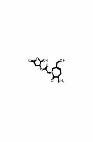 NC1CC=C(CO)CN(CC(=O)NC2CC(=O)OC2O)C1=O